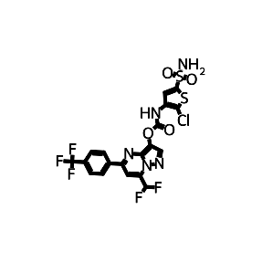 NS(=O)(=O)c1cc(NC(=O)Oc2cnn3c(C(F)F)cc(-c4ccc(C(F)(F)F)cc4)nc23)c(Cl)s1